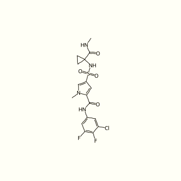 CNC(=O)C1(NS(=O)(=O)c2cc(C(=O)Nc3cc(F)c(F)c(Cl)c3)n(C)c2)CC1